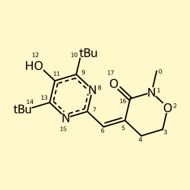 CN1OCCC(=Cc2nc(C(C)(C)C)c(O)c(C(C)(C)C)n2)C1=O